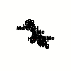 CN[C@@H](C)C(=O)N[C@H]1Cc2c([nH]c3cc(C[C@H](NC)C(=O)N[C@H]4Cc5c([nH]c6cc(C[C@H](NC)C(=O)N[C@H]7CCS(=O)(=O)C8CC(C)(C)[C@@H](C(=O)N[C@@H]9CCCc%10ccccc%109)N8C7=O)ccc56)[C@H]5CC(C)(C)[C@@H](C(=O)N[C@@H]6CCCc7ccccc76)N5C4=O)ccc23)[C@H]2CC(C)(C)[C@H](C(=O)N[C@@H]3CCCc4ccccc43)N2C1=O